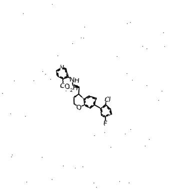 O=C(O)c1ccncc1N/C=C/C1CCOc2cc(-c3cc(F)ccc3Cl)ccc21